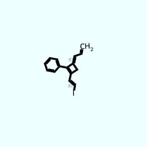 C=C/C=C1\CC(/C=C/I)=C1c1ccccc1